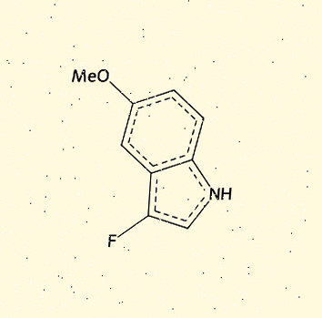 COc1ccc2[nH]cc(F)c2c1